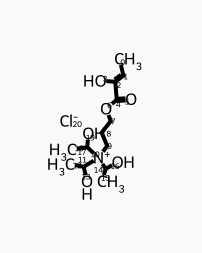 CC=C(O)C(=O)OCCC[N+](C(C)O)(C(C)O)C(C)O.[Cl-]